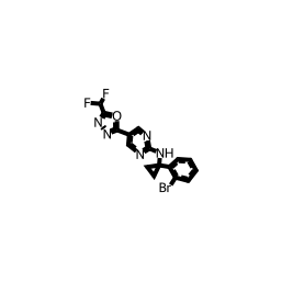 FC(F)c1nnc(-c2cnc(NC3(c4ccccc4Br)CC3)nc2)o1